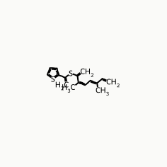 C=C/C(C)=C/C=C(/C)C(=C)SC(=C)c1cccs1